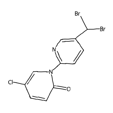 O=c1ccc(Cl)cn1-c1ccc(C(Br)Br)cn1